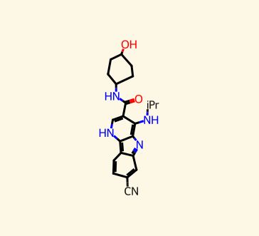 CC(C)Nc1c(C(=O)NC2CCC(O)CC2)c[nH]c2c3ccc(C#N)cc3nc1-2